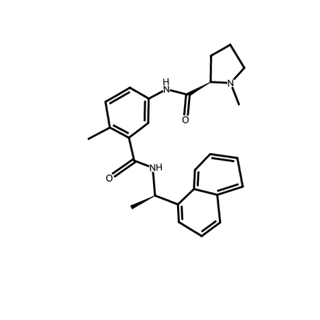 Cc1ccc(NC(=O)[C@H]2CCCN2C)cc1C(=O)N[C@H](C)c1cccc2ccccc12